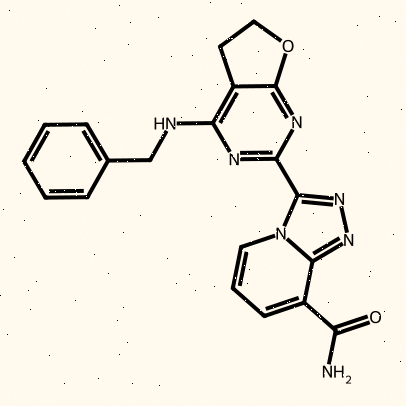 NC(=O)c1cccn2c(-c3nc(NCc4ccccc4)c4c(n3)OCC4)nnc12